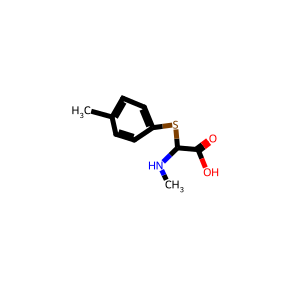 CNC(Sc1ccc(C)cc1)C(=O)O